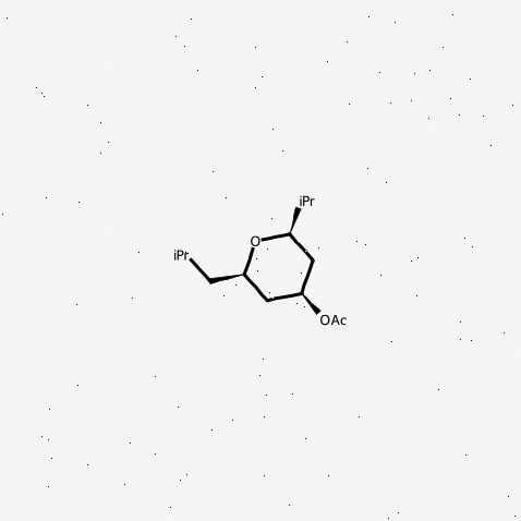 CC(=O)O[C@H]1C[C@@H](CC(C)C)O[C@@H](C(C)C)C1